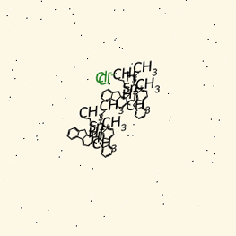 CCC[CH2][SnH]([CH2]CCC)[Hf+]([c]1c(C)ccc2c1Cc1ccccc1-2)[c]1c(C)ccc2c1Cc1ccccc1-2.CCC[CH2][SnH]([CH2]CCC)[Hf+]([c]1c(C)ccc2c1Cc1ccccc1-2)[c]1c(C)ccc2c1Cc1ccccc1-2.[Cl-].[Cl-]